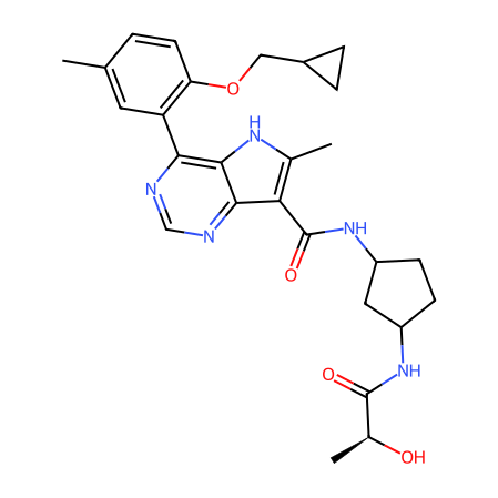 Cc1ccc(OCC2CC2)c(-c2ncnc3c(C(=O)NC4CCC(NC(=O)[C@H](C)O)C4)c(C)[nH]c23)c1